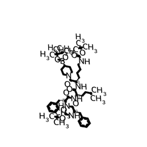 CC(C)CC[C@@H](NC(=O)[C@@H](Cc1ccccc1)NC(=O)[C@@H](Cc1ccccc1)NC(=O)OC(C)(C)C)C(=O)N[C@H](CCCCNC(=O)OC(C)(C)C)C(=O)N1CCC(B2OC(C)(C)C(C)(C)O2)CC1